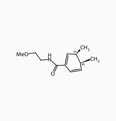 COCCNC(=O)C1=C[C@@H](C)[C@@H](C)C=C1